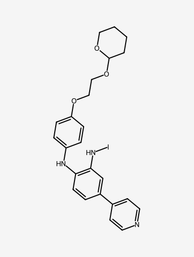 INc1cc(-c2ccncc2)ccc1Nc1ccc(OCCOC2CCCCO2)cc1